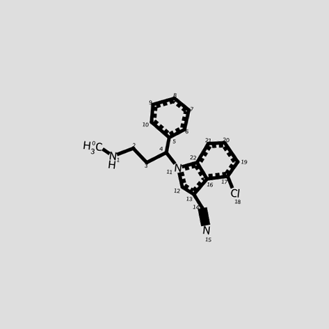 CNCCC(c1ccccc1)n1cc(C#N)c2c(Cl)cccc21